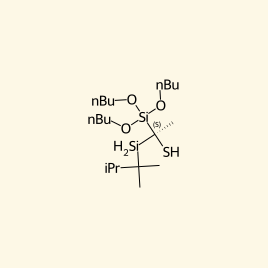 CCCCO[Si](OCCCC)(OCCCC)[C@@](C)(S)[SiH2]C(C)(C)C(C)C